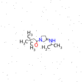 C=C(C)N[C@H]1CCN(C(=O)CC(C)(C)C)C1